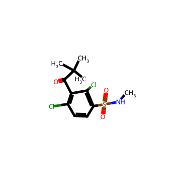 CNS(=O)(=O)c1ccc(Cl)c(C(=O)C(C)(C)C)c1Cl